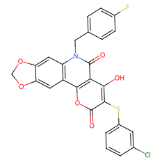 O=c1oc2c(c(O)c1Sc1cccc(Cl)c1)c(=O)n(Cc1ccc(F)cc1)c1cc3c(cc21)OCO3